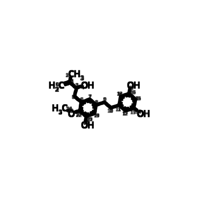 C=C(C)C(O)Cc1cc(CCc2cc(O)cc(O)c2)cc(O)c1OC